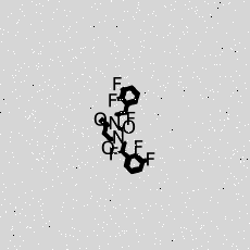 O=C1CC(=O)N(C[C@H](F)c2cccc(F)c2F)C(=O)N1C[C@H](F)c1cccc(F)c1F